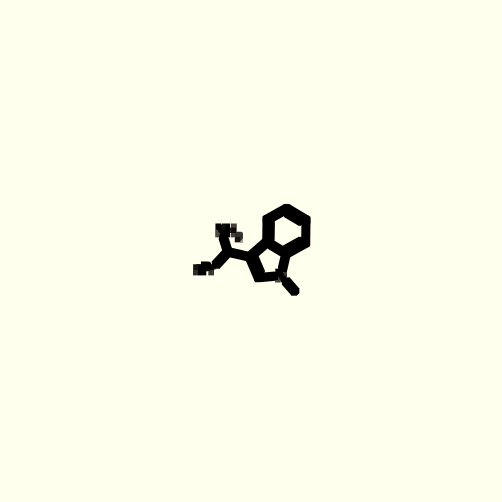 CCCC(N)c1cn(C)c2ccccc12